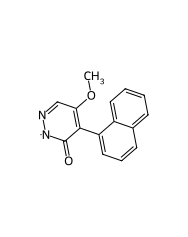 COC1=C(c2cccc3ccccc23)C(=O)[N]N=C1